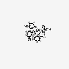 CCc1cccc(-c2c(C(O)(CCCNC(=O)O)[C@@H]3CCCNC3)ccnc2Cl)c1